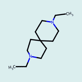 CCN1CCC2(CC1)CCN(CC)CC2